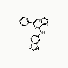 c1ccc(-c2cn3ccnc3c(Nc3ccc4ocnc4c3)n2)cc1